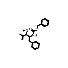 C=C(C)[C@@H](O)C(Cc1ccccc1)NC(=O)OCc1ccccc1